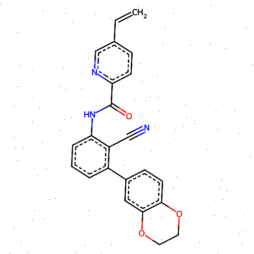 C=Cc1ccc(C(=O)Nc2cccc(-c3ccc4c(c3)OCCO4)c2C#N)nc1